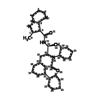 Cc1nn2cccnc2c1C(=O)N[C@@H](C)c1cc2cccc(-c3ccccc3)c2c(=O)n1-c1ccccc1